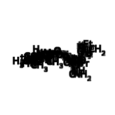 C=Cc1ccccc1N(Cc1ccccc1CC)C(=O)CCC(=O)N[C@H](C(=O)N[C@@H](CCCNC(N)=O)C(=O)Nc1ccc(COC(=O)NCc2ccc3c(C(C)(C)C(NC)C(=O)N[C@H](C(=O)N(C)[C@H](/C=C(\C)C(=O)O)C(C)C)C(C)(C)C)cn(C)c3c2)cc1)C(C)C